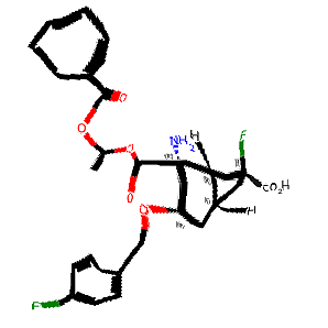 CC(OC(=O)c1ccccc1)OC(=O)[C@@]1(N)[C@H]2[C@@H](C[C@H]1OCc1ccc(F)cc1)[C@]2(F)C(=O)O